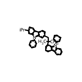 CC(C)c1ccc2c3ccc(CC(C)(C)c4cccc5c6ccccc6n(-c6ccccc6)c45)cc3n(-c3ccccc3)c2c1